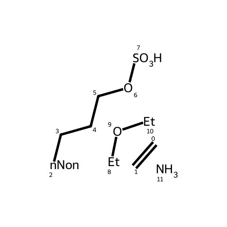 C=C.CCCCCCCCCCCCOS(=O)(=O)O.CCOCC.N